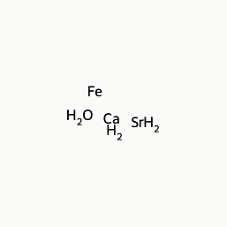 O.[CaH2].[Fe].[SrH2]